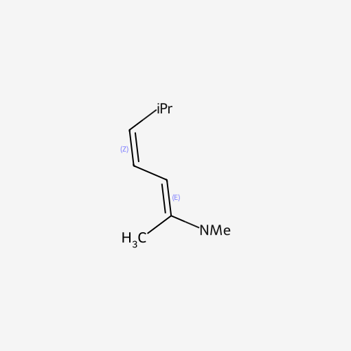 CN/C(C)=C/C=C\C(C)C